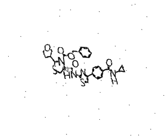 O=C(NC1CC1)c1ccc(-c2csc(NC(=O)[C@@H]3CSC(C4CCOC4)N3C(=O)OCc3ccccc3)n2)cc1